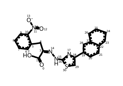 O=C(O)C(Cc1ccccc1[N+](=O)[O-])=NNc1nc(-c2ccc3ccccc3c2)cs1